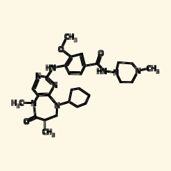 COc1cc(C(=O)NN2CCN(C)CC2)ccc1Nc1ncc2c(n1)N(C1CCCCC1)CC(C)C(=O)N2C